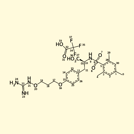 Cc1cc(C)c(S(=O)(=O)N[C@@H](Cc2ccc(OCCCONC(=N)N)cc2)C(=O)O)c(C)c1.O=C(O)C(F)(F)F